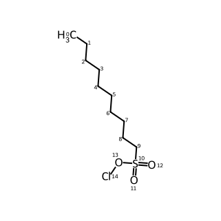 CCCCCCCCCCS(=O)(=O)OCl